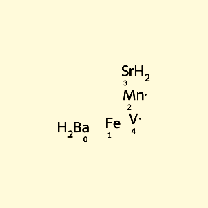 [BaH2].[Fe].[Mn].[SrH2].[V]